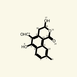 Cc1ccc2c(O)c(C=O)c3c(c2c1)C(=O)OC(O)C3